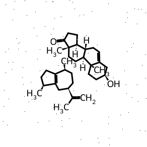 C=C(C)[C@@H]1CC[C@H](C)C2=C(C1)[C@@H](C)CC2.C[C@]12CC[C@H](O)CC1=CC[C@@H]1[C@@H]2CC[C@]2(C)C(=O)CC[C@@H]12